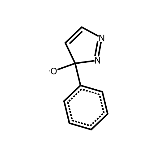 [O]C1(c2ccccc2)C=CN=N1